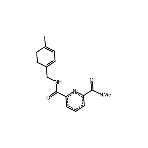 CNC(=O)c1cccc(C(=O)NCC2=CC=C(C)CC2)n1